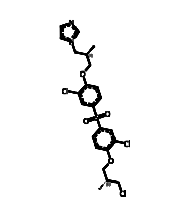 C[C@@H](CCl)COc1ccc(S(=O)(=O)c2ccc(OC[C@H](C)Cn3ccnc3)c(Cl)c2)cc1Cl